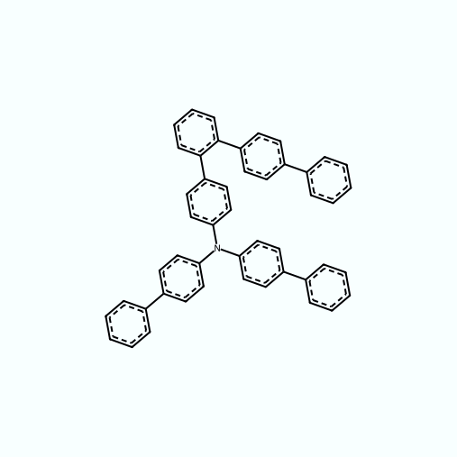 c1ccc(-c2ccc(-c3ccccc3-c3ccc(N(c4ccc(-c5ccccc5)cc4)c4ccc(-c5ccccc5)cc4)cc3)cc2)cc1